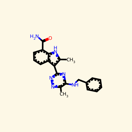 Cc1nnc(-c2c(C)[nH]c3c(C(N)=O)cccc23)nc1NCc1ccccc1